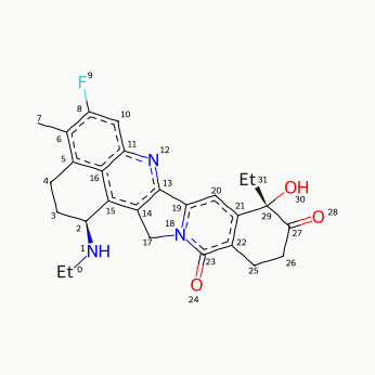 CCN[C@H]1CCc2c(C)c(F)cc3nc4c(c1c23)Cn1c-4cc2c(c1=O)CCC(=O)[C@]2(O)CC